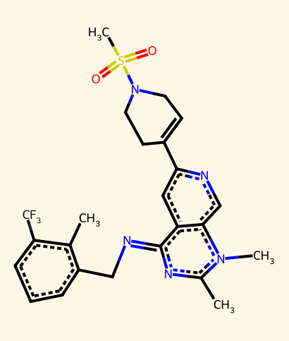 Cc1c(C/N=c2\nc(C)n(C)c3cnc(C4=CCN(S(C)(=O)=O)CC4)cc23)cccc1C(F)(F)F